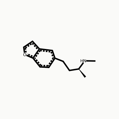 CN[C@@H](C)CCc1ccc2occc2c1